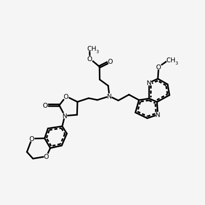 COC(=O)CCN(CCc1ccnc2ccc(OC)nc12)CCC1CN(c2ccc3c(c2)OCCO3)C(=O)O1